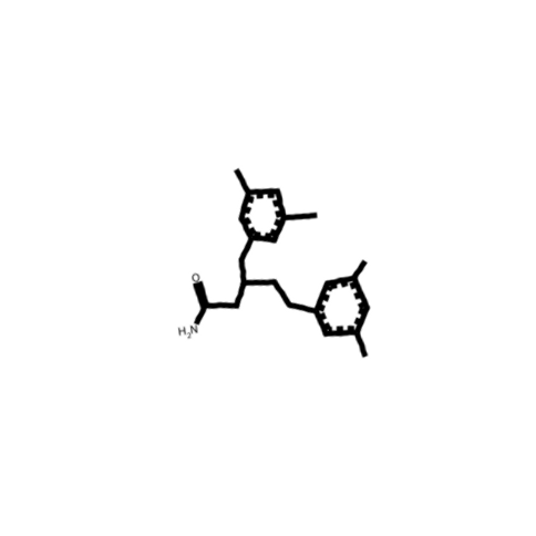 Cc1cc(C)cc(CC[C](CC(N)=O)Cc2cc(C)cc(C)c2)c1